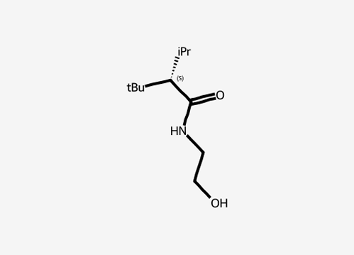 CC(C)[C@H](C(=O)NCCO)C(C)(C)C